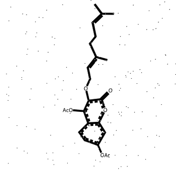 CC(=O)Oc1ccc2c(OC(C)=O)c(OC/C=C(\C)CCC=C(C)C)c(=O)oc2c1